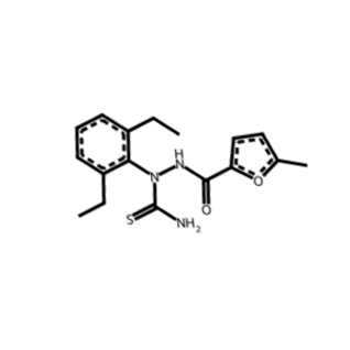 CCc1cccc(CC)c1N(NC(=O)c1ccc(C)o1)C(N)=S